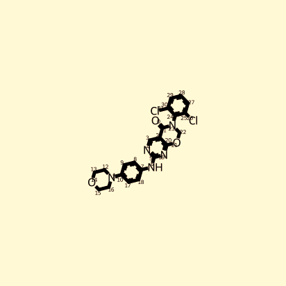 O=C1c2cnc(Nc3ccc(N4CCOCC4)cc3)nc2OCN1c1c(Cl)cccc1Cl